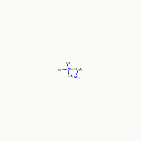 CCCN.C[N+](C)(C)Br